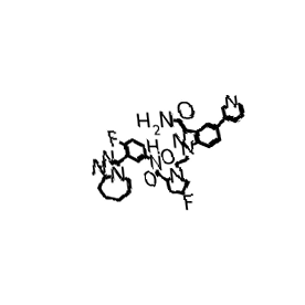 NC(=O)c1nn(CC(=O)N2CC(F)CC2C(=O)Nc2ccc(F)c(-c3nnc4n3CCCCC4)c2)c2ccc(-c3cccnc3)cc12